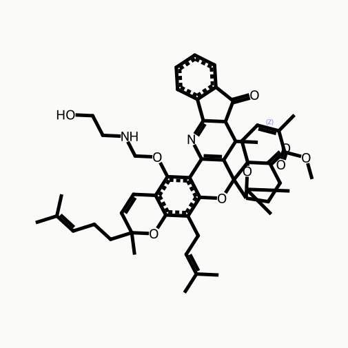 COC(=O)/C(C)=C\CC12OC(C)(C)C(CCC1=O)C21Oc2c(CC=C(C)C)c3c(c(OCNCCO)c2C2=C1C(C)C1C(=O)c4ccccc4C1=N2)C=CC(C)(CCC=C(C)C)O3